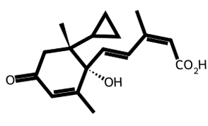 CC1=CC(=O)C[C@](C)(C2CC2)[C@@]1(O)/C=C/C(C)=C\C(=O)O